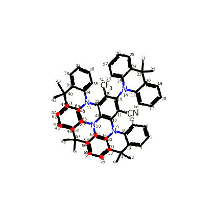 CC1(C)c2ccccc2N(c2c(C#N)c(N3c4ccccc4C(C)(C)c4ccccc43)c(C(F)(F)F)c(N3c4ccccc4C(C)(C)c4ccccc43)c2N2c3ccccc3C(C)(C)c3ccccc32)c2ccccc21